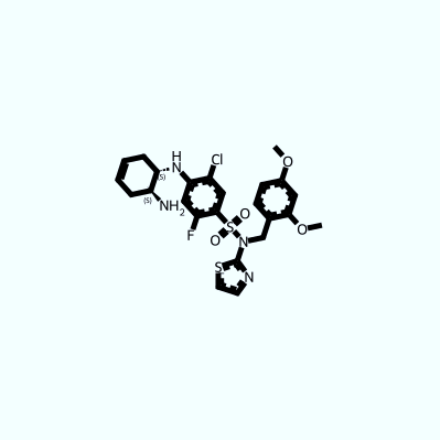 COc1ccc(CN(c2nccs2)S(=O)(=O)c2cc(Cl)c(N[C@H]3CC=CC[C@@H]3N)cc2F)c(OC)c1